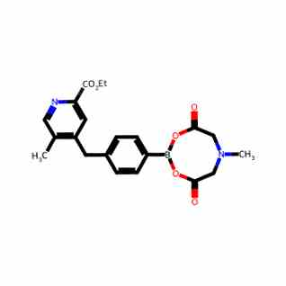 CCOC(=O)c1cc(Cc2ccc(B3OC(=O)CN(C)CC(=O)O3)cc2)c(C)cn1